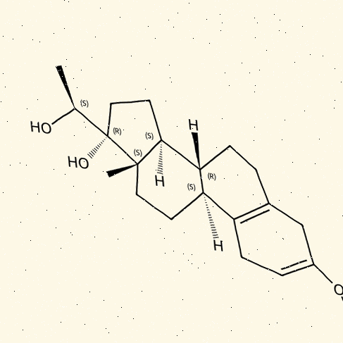 COC1=CCC2=C(CC[C@@H]3[C@@H]2CC[C@@]2(C)[C@H]3CC[C@]2(O)[C@H](C)O)C1